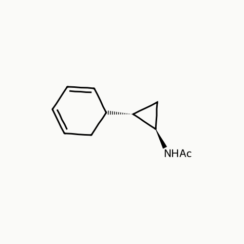 CC(=O)N[C@@H]1C[C@H]1C1C=CC=CC1